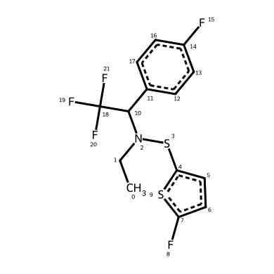 CCN(Sc1ccc(F)s1)C(c1ccc(F)cc1)C(F)(F)F